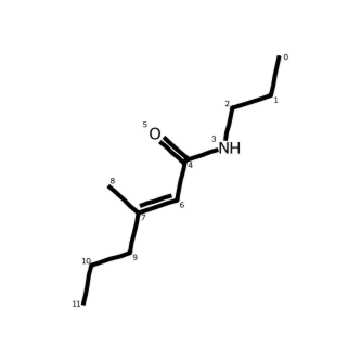 CCCNC(=O)/C=C(\C)CCC